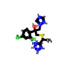 CC(SCC(O)(Cn1cncn1)c1ccc(Cl)cc1Cl)c1nnn[nH]1